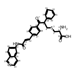 N[C@@H](CSCC(C(=O)c1ccc(/C=C/C(=O)Nc2ccc3cnccc3c2)cc1)c1ccccc1)C(=O)O